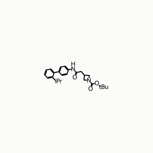 CC(C)c1ccccc1-c1ccc(NC(=O)CC2CN(C(=O)OC(C)(C)C)C2)cc1